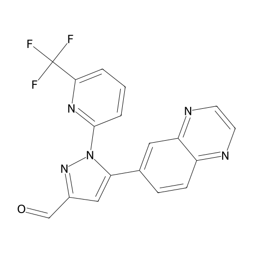 O=Cc1cc(-c2ccc3nccnc3c2)n(-c2cccc(C(F)(F)F)n2)n1